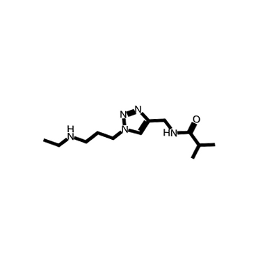 CCNCCCn1cc(CNC(=O)C(C)C)nn1